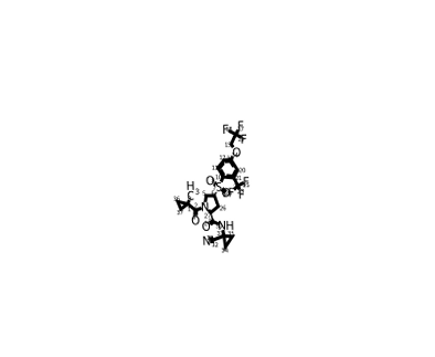 CC1(C(=O)N2C[C@H](S(=O)(=O)c3ccc(OCC(F)(F)F)cc3C(F)(F)F)C[C@H]2C(=O)NC2(C#N)CC2)CC1